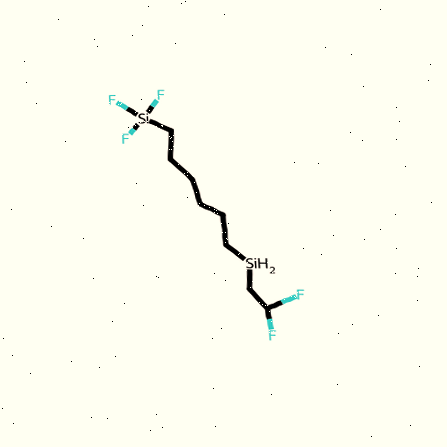 FC(F)C[SiH2]CCCCCC[Si](F)(F)F